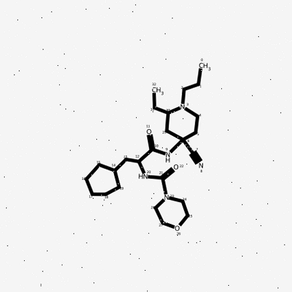 CCCN1CCC(C#N)(NC(=O)C(CC2CCCCC2)NC(=O)N2CCOCC2)CC1CC